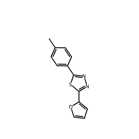 Cc1ccc(-c2nnc(-c3ccco3)s2)cc1